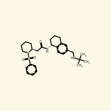 CC(C)(C)NCc1ccc2c(c1)CCC[C@H]2NC(=O)C[C@@H]1CCCCN1S(=O)(=O)c1ccccc1